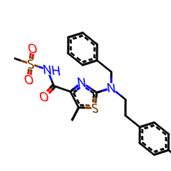 Cc1sc(N(CCc2ccc(F)cc2)Cc2ccccc2)nc1C(=O)NS(C)(=O)=O